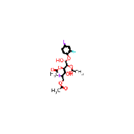 CC(=O)OCC(I)[C@@H](O)C(OC(C)=O)C(OC(C)=O)[C@H](O)Oc1ccc(I)cc1F